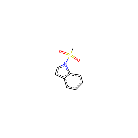 CS(=O)(=O)n1ccc2ccccc21